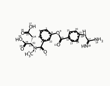 CN(C(=O)c1cccc(OC(=O)c2ccc(NC(=N)N)cc2)c1)[C@@H](CC(=O)O)C(=O)O